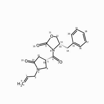 C=CCN1C[C@@H](C(=O)N2C(=O)OC[C@@H]2Cc2ccccc2)CC1=O